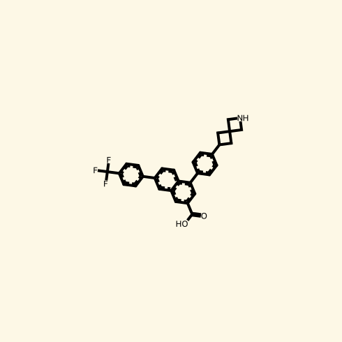 O=C(O)c1cc(-c2ccc(C3CC4(CNC4)C3)cc2)c2ccc(-c3ccc(C(F)(F)F)cc3)cc2c1